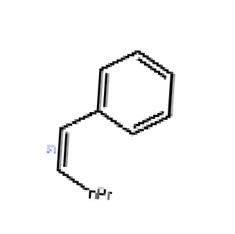 CCC/C=C\c1ccccc1